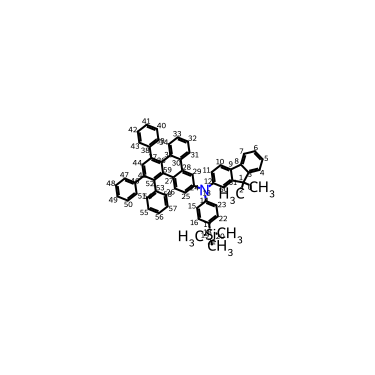 CC1(C)c2ccccc2-c2ccc(N(c3ccc([Si](C)(C)C)cc3)c3ccc4c(c3)c3ccccc3c3c(-c5ccccc5)cc(-c5ccccc5)c(-c5ccccc5)c43)cc21